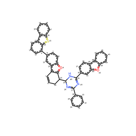 C1=Cc2c(oc3ccc(-c4cccc5c4sc4ccccc45)cc23)C(C2N=C(c3ccccc3)N=C(c3ccc4c(c3)oc3ccccc34)N2)C1